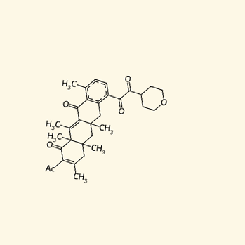 CC(=O)C1=C(C)CC2(C)CC3(C)Cc4c(C(=O)C(=O)C5CCOCC5)ccc(C)c4C(=O)C3=C(C)C2(C)C1=O